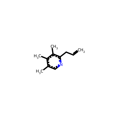 C=CCc1ncc(C)c(C)c1C